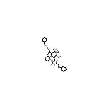 CC1=C(C(=O)OCCOc2ccccc2)C(c2ccccc2OC(F)F)C(C(=O)OCCOc2ccccc2)=C(C)N1